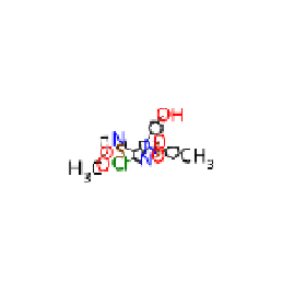 COCOC1(c2ncc(-c3c(Cl)cnc4c3cc(-c3ccc(O)cc3)n4S(=O)(=O)c3ccc(C)cc3)s2)CCC1